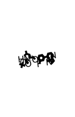 CC(C)C[C@@](C)(COc1ccc(-c2ccnc3ccnn23)cc1F)NC(=O)OC(C)(C)C